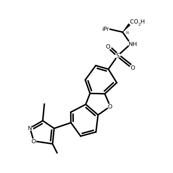 Cc1noc(C)c1-c1ccc2oc3cc(S(=O)(=O)N[C@H](C(=O)O)C(C)C)ccc3c2c1